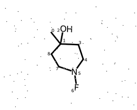 CC1(O)CCN(F)CC1